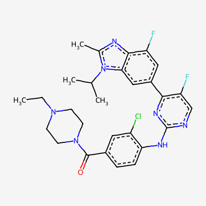 CCN1CCN(C(=O)c2ccc(Nc3ncc(F)c(-c4cc(F)c5nc(C)n(C(C)C)c5c4)n3)c(Cl)c2)CC1